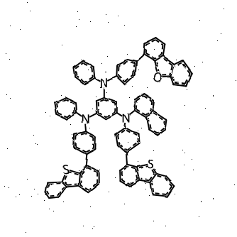 c1ccc(N(c2ccc(-c3cccc4c3oc3ccccc34)cc2)c2cc(N(c3ccccc3)c3ccc(-c4cccc5c4sc4ccccc45)cc3)cc(N(c3ccc(-c4cccc5c4sc4ccccc45)cc3)c3cccc4ccccc34)c2)cc1